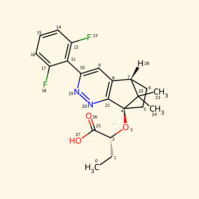 CC[C@@H](O[C@@]12CC[C@@H](c3cc(-c4c(F)cccc4F)nnc31)C2(C)C)C(=O)O